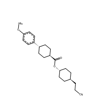 CCCCOc1ccc([C@H]2CC[C@H](C(=O)O[C@H]3CC[C@H](CCC#N)CC3)CC2)cc1